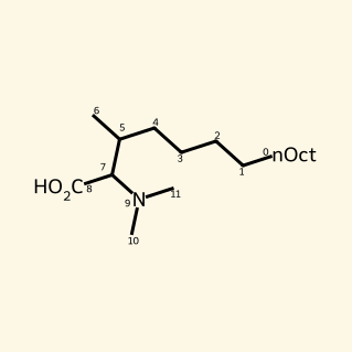 CCCCCCCCCCCCC(C)C(C(=O)O)N(C)C